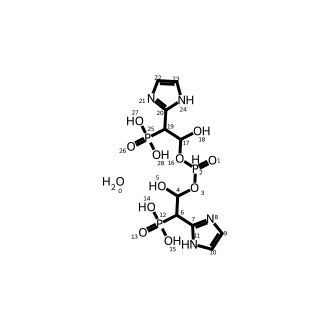 O.O=[PH](OC(O)C(c1ncc[nH]1)P(=O)(O)O)OC(O)C(c1ncc[nH]1)P(=O)(O)O